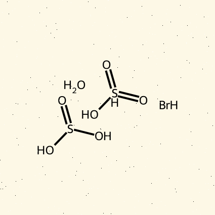 Br.O.O=S(O)O.O=[SH](=O)O